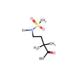 CCN(CCC(C)(C)C(=O)C(C)(C)C)S(C)(=O)=O